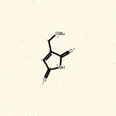 CC(C)COCC1=CC(=O)NC1=O